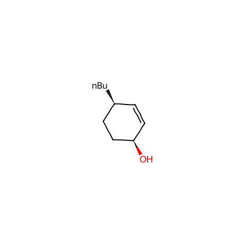 CCCC[C@H]1C=C[C@@H](O)CC1